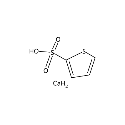 O=S(=O)(O)c1cccs1.[CaH2]